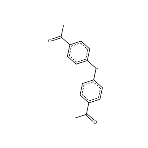 CC(=O)c1ccc([CH]c2ccc(C(C)=O)cc2)cc1